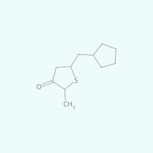 CC1SC(CC2CCCC2)CC1=O